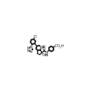 O=C(O)c1ccc(NC(=O)C2(O)CCc3cc(-c4cc(Cl)ccc4-n4cnnn4)c[n+]([O-])c32)cc1